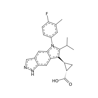 Cc1cc(-n2c(C(C)C)c([C@H]3C[C@@H]3C(=O)O)c3cc4[nH]ncc4cc32)ccc1F